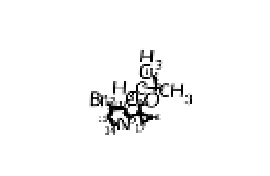 CCC(C)(C)OC(=O)C1(c2cc(Br)ccn2)CC1